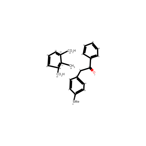 CSc1ccc(CC(=O)c2ccccc2)cc1.Cc1c(C(=O)O)cccc1C(=O)O